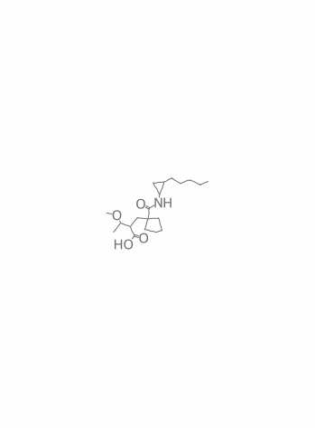 CCCCCC1CC1NC(=O)C1(CC(C(=O)O)C(C)OC)CCCC1